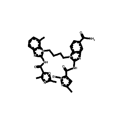 CCn1nc(C)cc1C(=O)Nc1nc2cc(C(N)=O)ccc2n1CCCCn1c(NC(=O)c2oc(C)nc2C)nc2cccc(C)c21